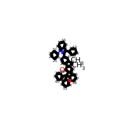 CC1(C)c2cc(-c3c(-c4ccccc4)c4ccccc4n3-c3ccccc3)ccc2-c2c1ccc1c2Oc2ccccc2C1(c1ccccc1)c1ccccc1